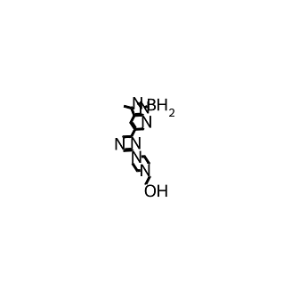 Bn1nc(C)c2cc(-c3cncc(N4CCN(CCO)CC4)n3)cnc21